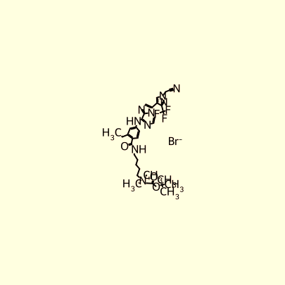 CCc1cc(Nc2nccn3c(-c4cn(CC#N)nc4C(F)(F)F)cnc23)ccc1C(=O)NCCCCC[N+](C)(C)CC(=O)OC(C)(C)C.[Br-]